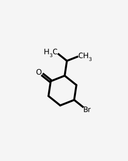 CC(C)C1CC(Br)CCC1=O